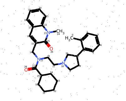 Cc1ccccc1C1CCN(CCN(Cc2cc3ccccc3n(C)c2=O)C(=O)C2CCCCC2)C1